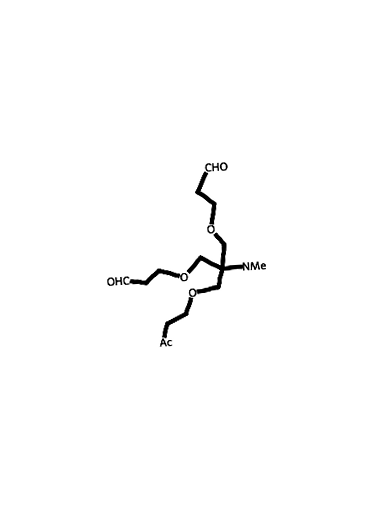 CNC(COCCC=O)(COCCC=O)COCCC(C)=O